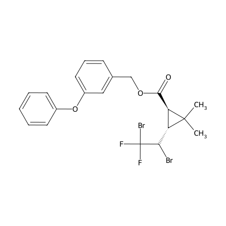 CC1(C)[C@H](C(=O)OCc2cccc(Oc3ccccc3)c2)[C@H]1C(Br)C(F)(F)Br